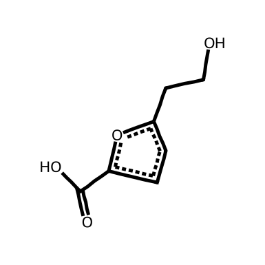 O=C(O)c1ccc(CCO)o1